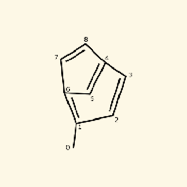 Cc1ccc2cc1C=C2